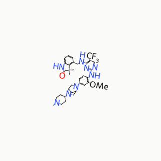 COc1cc(N2CC3CC2CN3C2CCN(C)CC2)ccc1Nc1ncc(C(F)(F)F)c(NCc2cccc3c2C(C)(C)C(=O)N3)n1